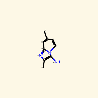 Cc1ccn2c([NH])c(C)nc2c1